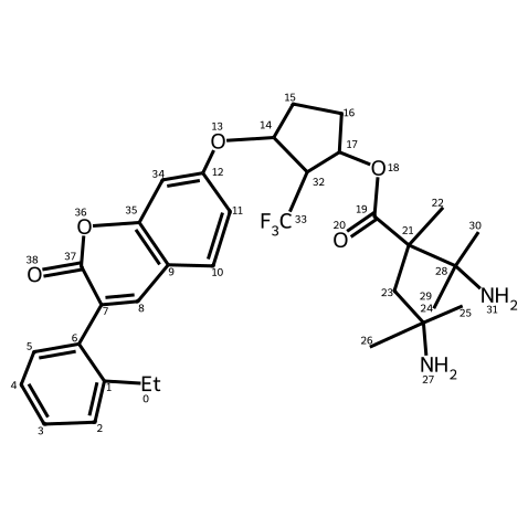 CCc1ccccc1-c1cc2ccc(OC3CCC(OC(=O)C(C)(CC(C)(C)N)C(C)(C)N)C3C(F)(F)F)cc2oc1=O